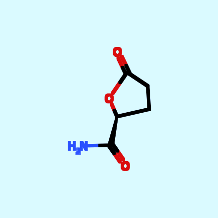 NC(=O)[C@@H]1CCC(=O)O1